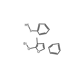 CCOc1occc1C.SSc1ccccc1.c1ccccc1